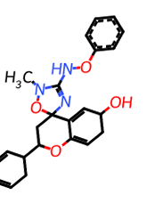 CN1OC2(CC(C3C=CC=CC3)OC3=CCC(O)C=C32)N=C1NOc1ccccc1